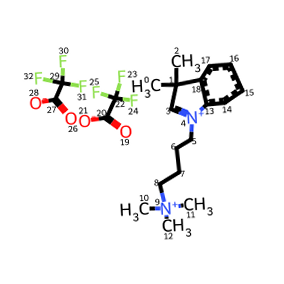 CC1(C)C=[N+](CCCC[N+](C)(C)C)c2ccccc21.O=C([O-])C(F)(F)F.O=C([O-])C(F)(F)F